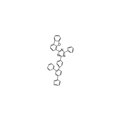 c1ccc(-c2ccc(-c3ccc(-c4nc(-c5ccccc5)nc(-c5cccc6c5oc5ccccc56)n4)cc3)c(-c3ccccc3)c2)cc1